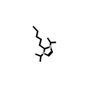 CCCCCC1N(C(C)C)C=CN1C(C)C